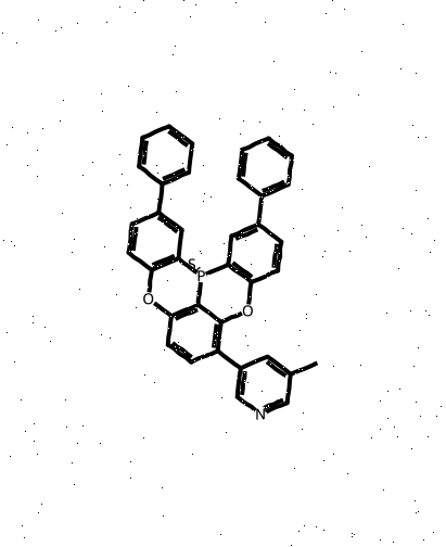 Cc1cncc(-c2ccc3c4c2Oc2ccc(-c5ccccc5)cc2P4(=S)c2cc(-c4ccccc4)ccc2O3)c1